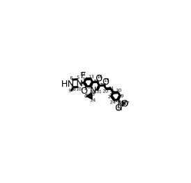 COc1c(N2CCNC(C)C2)c(F)cc2c(=O)c(C(=O)/C=C/c3ccc([N+](=O)[O-])cc3)cn(C3CC3)c12